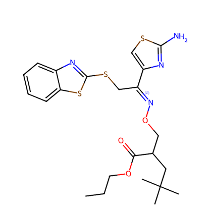 CCCOC(=O)C(CO/N=C(\CSc1nc2ccccc2s1)c1csc(N)n1)CC(C)(C)C